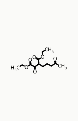 CCOC(=O)C(=O)C(CCCC(C)=O)C(=O)OCC